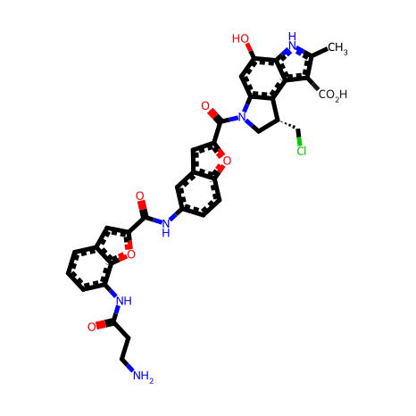 Cc1[nH]c2c(O)cc3c(c2c1C(=O)O)[C@H](CCl)CN3C(=O)c1cc2cc(NC(=O)c3cc4cccc(NC(=O)CCN)c4o3)ccc2o1